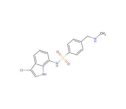 CNCc1ccc(S(=O)(=O)Nc2cccc3c(Cl)c[nH]c23)cc1